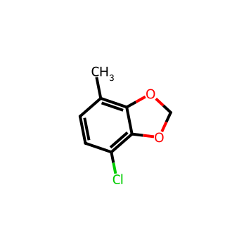 Cc1ccc(Cl)c2c1OCO2